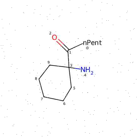 CCCCCC(=O)C1(N)CCCCC1